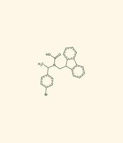 CC(c1ccc(Br)cc1)N(CC1c2ccccc2-c2ccccc21)C(=O)O